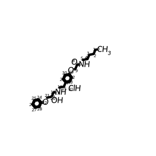 CCCCCCNC(=O)COc1ccc(CCNCC(O)COc2ccccc2)cc1.Cl